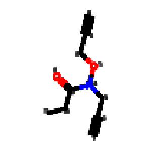 C#CCON(CC#C)C(=O)CC